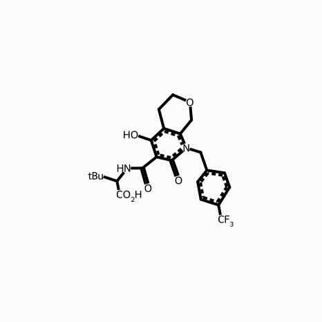 CC(C)(C)C(NC(=O)c1c(O)c2c(n(Cc3ccc(C(F)(F)F)cc3)c1=O)COCC2)C(=O)O